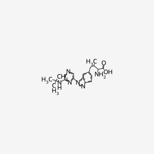 CC(Cc1ccc2ncn(-c3cncc(NC(C)(C)C)n3)c2c1)C(N)C(=O)O